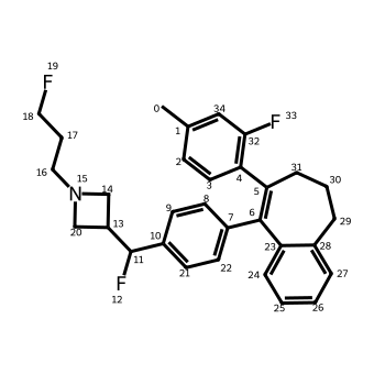 Cc1ccc(C2=C(c3ccc(C(F)C4CN(CCCF)C4)cc3)c3ccccc3CCC2)c(F)c1